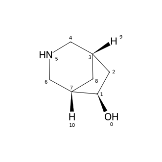 O[C@@H]1C[C@H]2CNC[C@@H]1C2